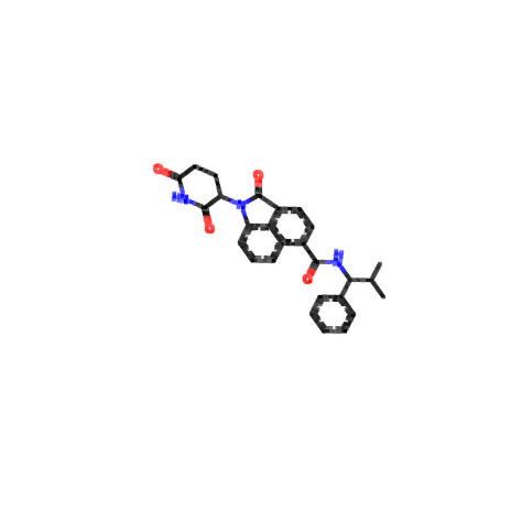 CC(C)C(NC(=O)c1ccc2c3c(cccc13)N(C1CCC(=O)NC1=O)C2=O)c1ccccc1